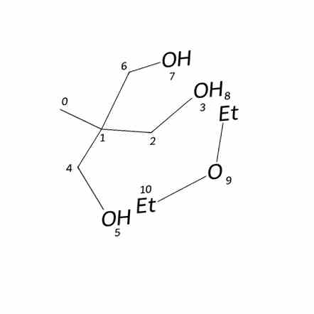 CC(CO)(CO)CO.CCOCC